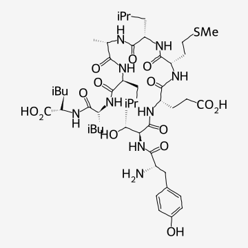 CC[C@H](C)[C@H](NC(=O)[C@@H](NC(=O)[C@H](CC(C)C)NC(=O)[C@H](C)NC(=O)[C@H](CC(C)C)NC(=O)[C@H](CCSC)NC(=O)[C@H](CCC(=O)O)NC(=O)[C@@H](NC(=O)[C@@H](N)Cc1ccc(O)cc1)[C@@H](C)O)[C@@H](C)CC)C(=O)O